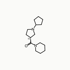 O=C([C@H]1CCN(C2CCCC2)C1)N1CCCCC1